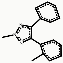 Cc1ccccc1-c1nn(C)nc1-c1ccccc1